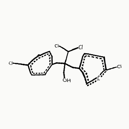 OC(c1ccc(Cl)cc1)(c1ccc(Cl)cc1)C(Cl)Cl